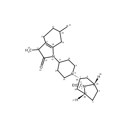 CCOC(=O)N1[C@@H]2CC[C@H]1C[C@@H](N1CCC(N3C(=O)C(C)C4=C3CC(F)CC4)CC1)C2